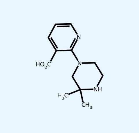 CC1(C)CN(c2ncccc2C(=O)O)CCN1